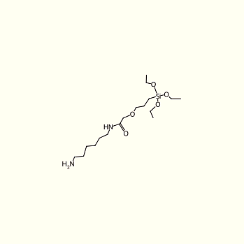 CCO[Si](CCCOCC(=O)NCCCCCCN)(OCC)OCC